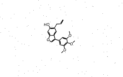 C=CCc1cc2c(-c3cc(OC)c(OC)c(OC)c3)coc2cc1O